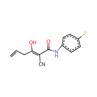 C=CC/C(O)=C(\C#N)C(=O)Nc1ccc(F)cc1